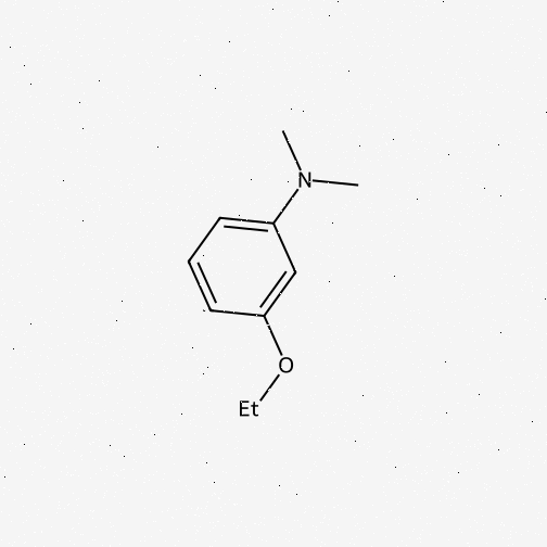 CCOc1[c]ccc(N(C)C)c1